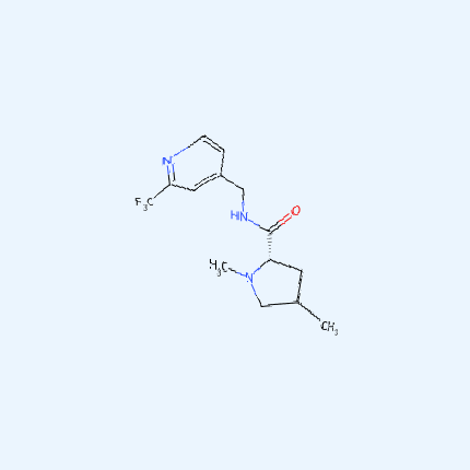 CC1C[C@@H](C(=O)NCc2ccnc(C(F)(F)F)c2)N(C)C1